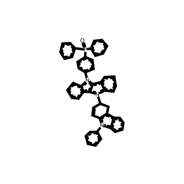 O=P(c1ccccc1)(c1ccccc1)c1ccc(-n2c3ccccc3c3c2c2ccccc2n3C2C=Cc3c(c4ccccc4n3-c3ccccc3)C2)cc1